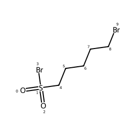 O=S(=O)(Br)CCCCCBr